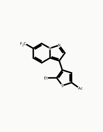 CCc1sc(C(C)=O)cc1-c1cnn2cc(C(F)(F)F)ccc12